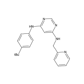 CC(C)(C)c1ccc(Nc2cc(NCc3ccccn3)ncn2)cc1